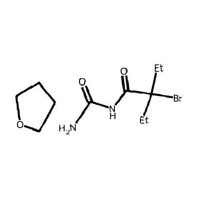 C1CCOC1.CCC(Br)(CC)C(=O)NC(N)=O